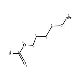 CCCOCCCCOC(=O)CC